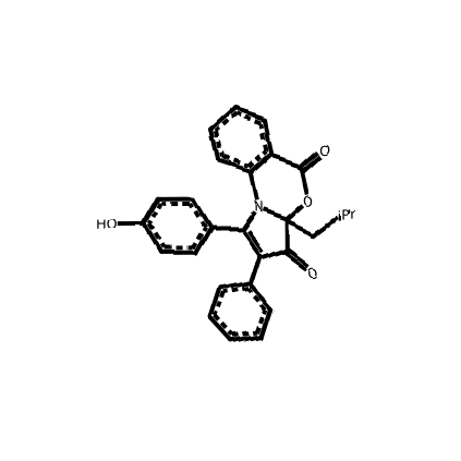 CC(C)CC12OC(=O)c3ccccc3N1C(c1ccc(O)cc1)=C(c1ccccc1)C2=O